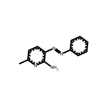 Cc1ccc(N=Nc2ccccc2)c(N)n1